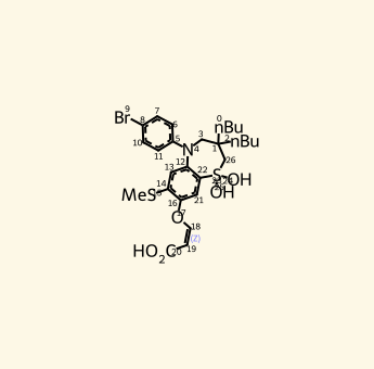 CCCCC1(CCCC)CN(c2ccc(Br)cc2)c2cc(SC)c(O/C=C\C(=O)O)cc2S(O)(O)C1